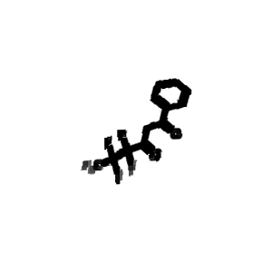 O=C(CC(=O)C(F)(F)C(F)(F)C(F)(F)F)c1ccccc1